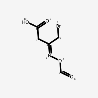 O=CON=C(CBr)CC(=O)O